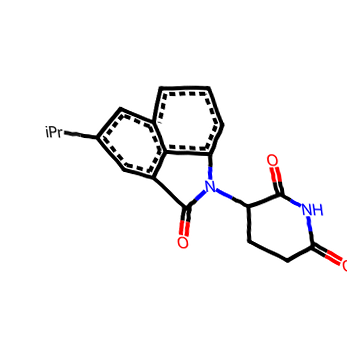 CC(C)c1cc2c3c(cccc3c1)N(C1CCC(=O)NC1=O)C2=O